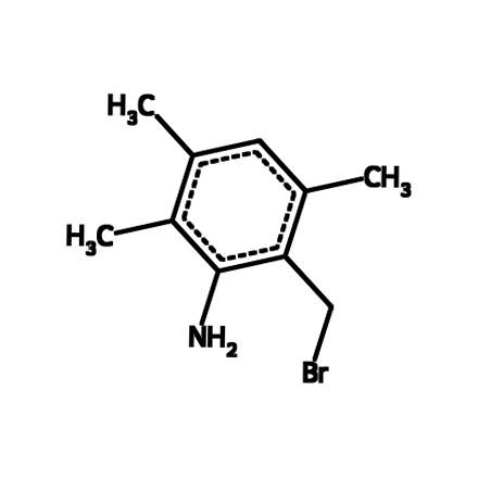 Cc1cc(C)c(CBr)c(N)c1C